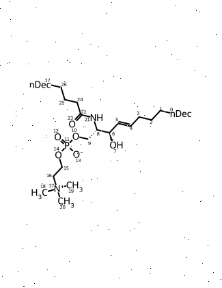 CCCCCCCCCCCCC/C=C/[C@@H](O)[C@H](COP(=O)([O-])OCC[N+](C)(C)C)NC(=O)CCCCCCCCCCCCC